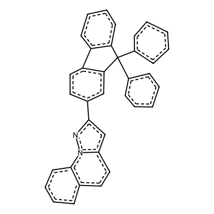 c1ccc(C2(c3ccccc3)c3ccccc3-c3ccc(-c4cc5ccc6ccccc6n5n4)cc32)cc1